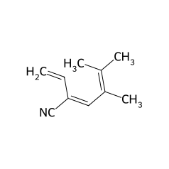 C=C/C(C#N)=C\C(C)=C(C)C